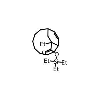 CCC1(C(=O)O[Si](CC)(CC)CC)CC2C=CC1CCCCCCC2